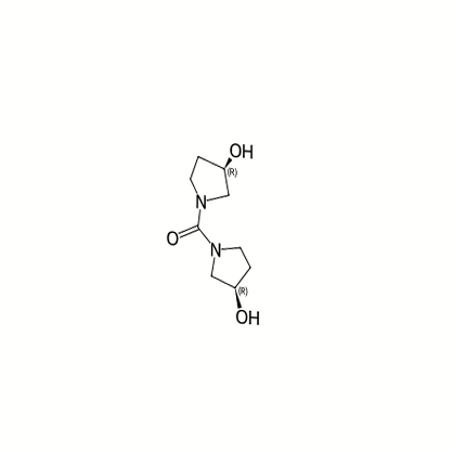 O=C(N1CC[C@@H](O)C1)N1CC[C@@H](O)C1